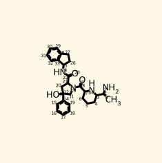 CC(N)C1CCCC(C(=O)N2CC(O)(c3ccccc3)CC2C(=O)NC2CCc3ccccc32)N1